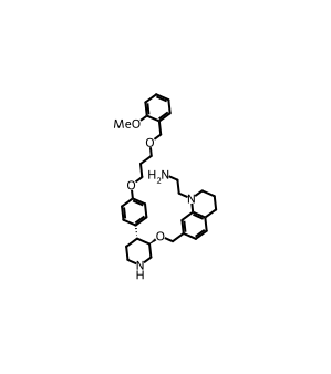 COc1ccccc1COCCCOc1ccc([C@H]2CCNC[C@@H]2OCc2ccc3c(c2)N(CCN)CCC3)cc1